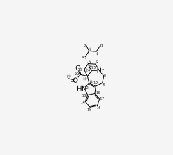 CCC(C)C[C@@H]1CN2CCc3c([nH]c4ccccc34)C(C(=O)OC)(C1)C2C